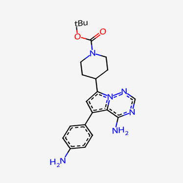 CC(C)(C)OC(=O)N1CCC(c2cc(-c3ccc(N)cc3)c3c(N)ncnn23)CC1